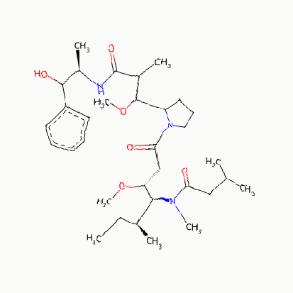 CC[C@H](C)[C@@H]([C@@H](CC(=O)N1CCCC1C(OC)C(C)C(=O)N[C@H](C)C(O)c1ccccc1)OC)N(C)C(=O)CC(C)C